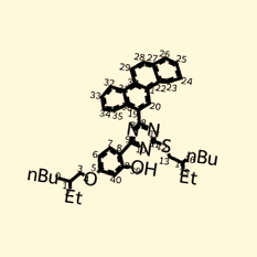 CCCCC(CC)COc1ccc(-c2nc(SCC(CC)CCCC)nc(-c3cc4c5ccccc5ccc4c4ccccc34)n2)c(O)c1